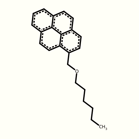 CCCCCCOCc1ccc2ccc3cccc4ccc1c2c34